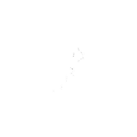 CC(=O)CCCCNC(=O)Cc1ccc(O)cc1